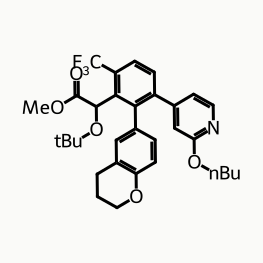 CCCCOc1cc(-c2ccc(C(F)(F)F)c(C(OC(C)(C)C)C(=O)OC)c2-c2ccc3c(c2)CCCO3)ccn1